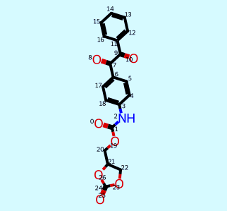 O=C(Nc1ccc(C(=O)C(=O)c2ccccc2)cc1)OCC1COC(=O)O1